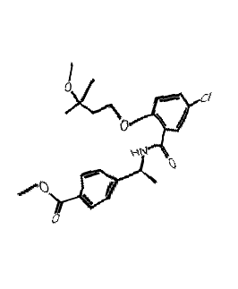 COC(=O)c1ccc([C@H](C)NC(=O)c2cc(Cl)ccc2OCCC(C)(C)OC)cc1